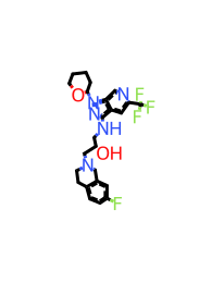 O[C@@H](CNc1nn(C2CCCCO2)c2cnc(C(F)(F)F)cc12)CN1CCc2ccc(F)cc2C1